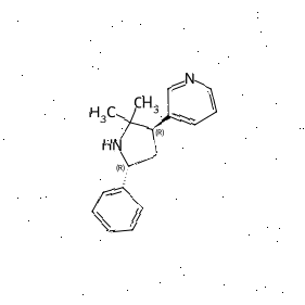 CC1(C)N[C@@H](c2ccccc2)C[C@@H]1c1cccnc1